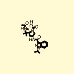 CC(=O)NC[C@@]1(C(C)(C)C)C[C@H](NC(=O)c2nn(C(C)C)c3ccccc23)CN1C(=O)O